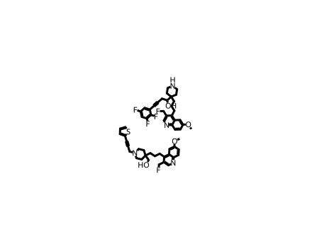 COc1ccc2ncc(CF)c(CCCC3(C(O)CC#Cc4cc(F)cc(F)c4F)CCNCC3)c2c1.COc1ccc2ncc(CF)c(CCCC3(CO)CCN(CC#Cc4cccs4)CC3)c2c1